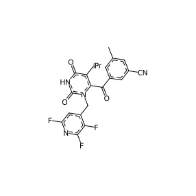 Cc1cc(C#N)cc(C(=O)c2c(C(C)C)c(=O)[nH]c(=O)n2Cc2cc(F)nc(F)c2F)c1